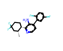 C[C@@H]1CC(F)(F)CC[C@@H]1c1nccc(-c2cc(F)ccc2F)c1N